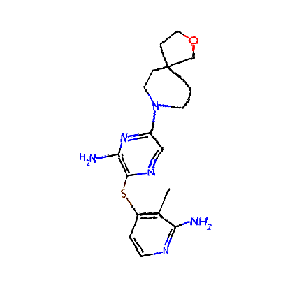 Cc1c(Sc2ncc(N3CCC4(CCOC4)CC3)nc2N)ccnc1N